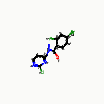 O=C(Nc1ccnc(Cl)n1)c1ccc(Br)cc1F